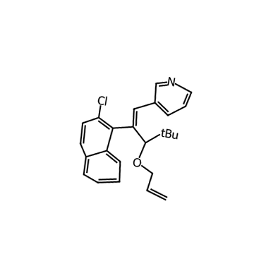 C=CCOC(C(=Cc1cccnc1)c1c(Cl)ccc2ccccc12)C(C)(C)C